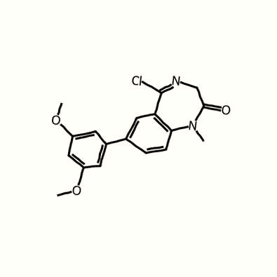 COc1cc(OC)cc(-c2ccc3c(c2)C(Cl)=NCC(=O)N3C)c1